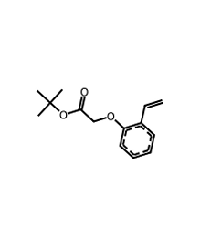 C=Cc1ccccc1OCC(=O)OC(C)(C)C